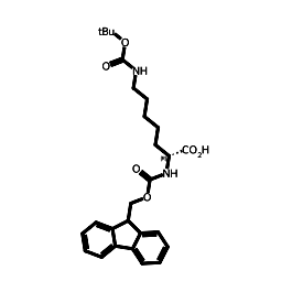 CC(C)(C)OC(=O)NCCCCC[C@@H](NC(=O)OCC1c2ccccc2-c2ccccc21)C(=O)O